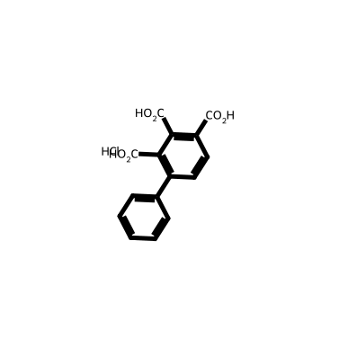 Cl.O=C(O)c1ccc(-c2ccccc2)c(C(=O)O)c1C(=O)O